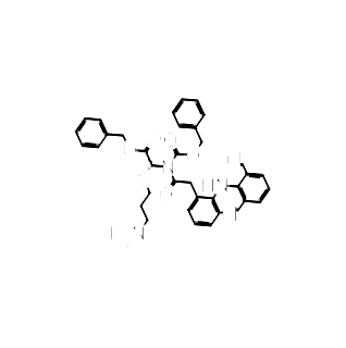 NCCCS[C@@H](C(=O)OCc1ccccc1)N(C(=O)Cc1ccccc1Nc1c(Cl)cccc1Cl)C(=O)OCc1ccccc1